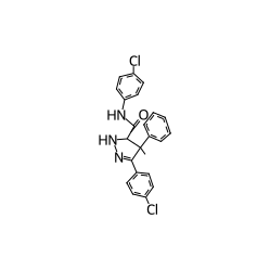 CC1(c2ccccc2)C(c2ccc(Cl)cc2)=NNC1C(=O)Nc1ccc(Cl)cc1